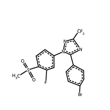 CS(=O)(=O)c1ccc(-n2nc(C(F)(F)F)nc2-c2ccc(Br)cc2)cc1F